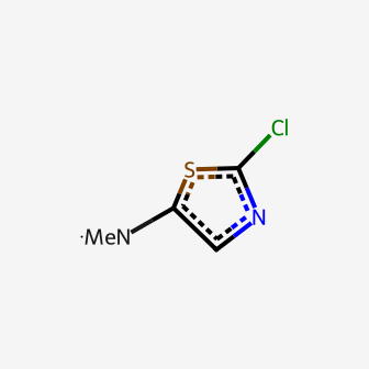 C[N]c1cnc(Cl)s1